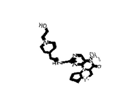 CCC1C(=O)N(C)c2cnc(NCCC3CCN(CCO)CC3)nc2N1C1CCCC1